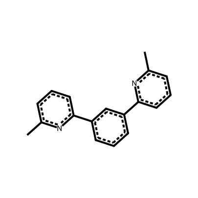 Cc1cccc(-c2cccc(-c3cccc(C)n3)c2)n1